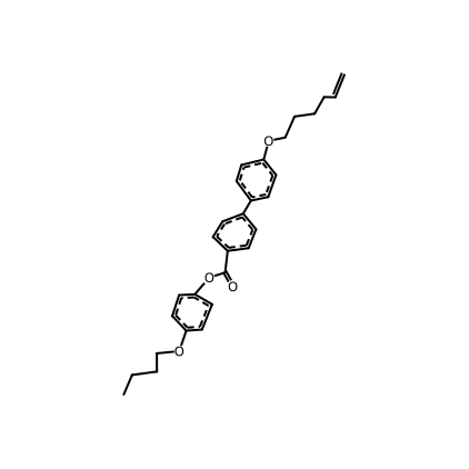 C=CCCCCOc1ccc(-c2ccc(C(=O)Oc3ccc(OCCCC)cc3)cc2)cc1